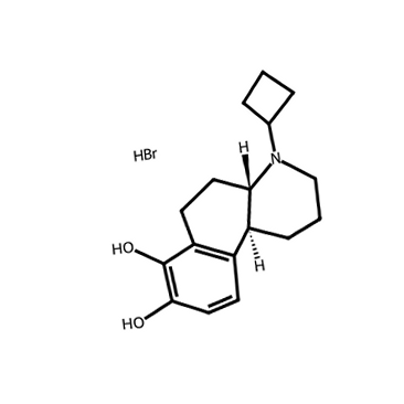 Br.Oc1ccc2c(c1O)CC[C@H]1[C@H]2CCCN1C1CCC1